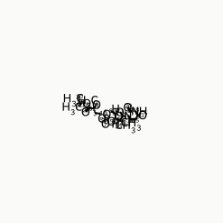 CO[C@@H](CCO[P@@]1(=O)OC[C@H]2O[C@@H](n3ccc(=O)[nH]c3=O)C(C)(C)[C@@H]2O1)C(=O)OC(C)C